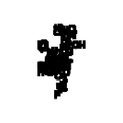 CC(=O)O[C@@]12CO[C@@H]1CC[C@@]1(C)[C@@H]3O[C@H](CN4CC(F)C4)O[C@@H]3C3=C(C)[C@@H](OC(=O)[C@H](O)[C@@H](NC(=O)OC(C)(C)C)C4(C)COC4)C[C@@](O)([C@@H](OC(=O)c4ccccc4)[C@@H]12)C3(C)C